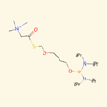 CC(C)N(C(C)C)P(OCCCOCSC(=O)C[N+](C)(C)C)N(C(C)C)C(C)C